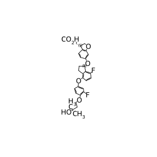 CC(C)(O)CCOc1ccc(Oc2ccc(F)c3c2CC[C@H]3Oc2ccc3c(c2)OC[C@H]3CC(=O)O)cc1F